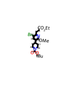 CCOC(=O)CCc1nc(OC)c(C2CCN(C(=O)OC(C)(C)C)CC2)cc1Br